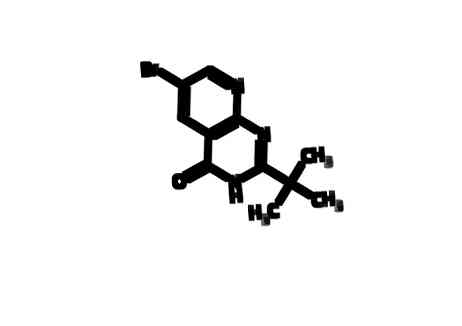 CC(C)(C)c1nc2ncc(Br)cc2c(=O)[nH]1